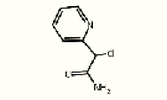 NC(=O)C(Cl)c1ccccn1